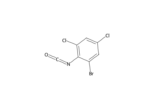 O=C=Nc1c(Cl)cc(Cl)cc1Br